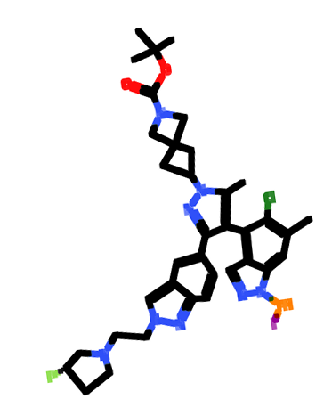 Cc1cc2c(cnn2PI)c(-c2c(-c3ccc4nn(CCN5CC[C@H](F)C5)cc4c3)nn(C3CC4(C3)CN(C(=O)OC(C)(C)C)C4)c2C)c1Cl